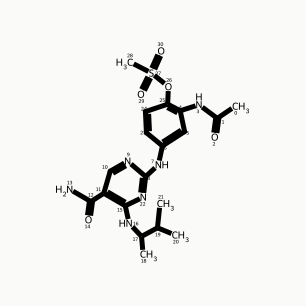 CC(=O)Nc1cc(Nc2ncc(C(N)=O)c(NC(C)C(C)C)n2)ccc1OS(C)(=O)=O